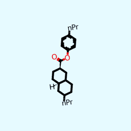 CCCc1ccc(OC(=O)[C@@H]2CC[C@@H]3CC(CCC)CCC3C2)cc1